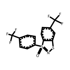 O=S1(c2ccc(C(F)(F)F)cc2)=NSc2cc(C(F)(F)F)ccc21